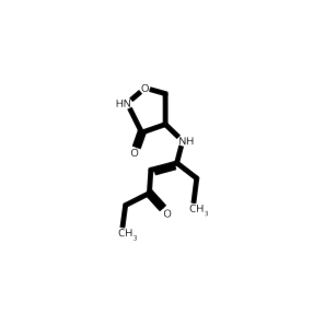 CCC(=O)C=C(CC)NC1CONC1=O